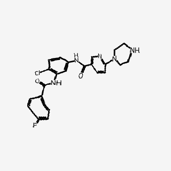 O=C(Nc1ccc(Cl)c(NC(=O)c2ccc(F)cc2)c1)c1ccc(N2CCNCC2)nc1